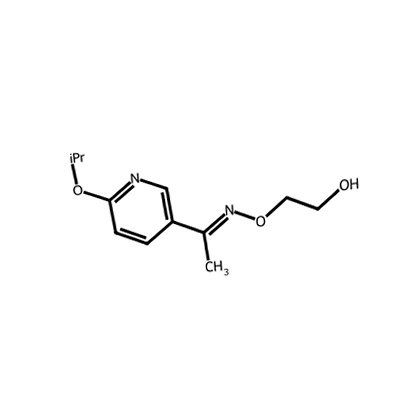 CC(=NOCCO)c1ccc(OC(C)C)nc1